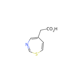 O=C(O)CC1=CN=CSC=C1